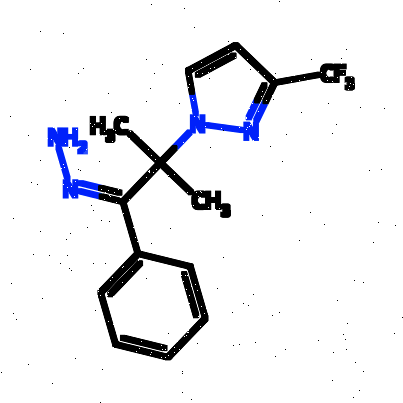 CC(C)(C(=NN)c1ccccc1)n1ccc(C(F)(F)F)n1